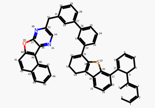 C/C=C\C=C(/C)C1CC=CC=C1c1cccc2c3c(sc12)C(c1cccc(-c2cccc(Cc4cnc5c(n4)oc4ccc6ccccc6c45)c2)c1)=CCC3